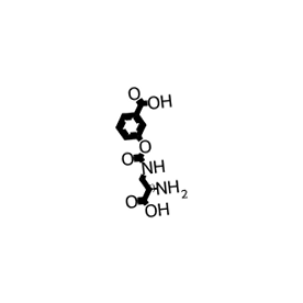 N[C@@H](CNC(=O)Oc1cccc(C(=O)O)c1)C(=O)O